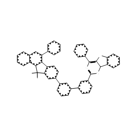 CC1(C)c2cc(-c3cccc(-c4cccc(C5=NC(c6ccccc6)=C6Sc7ccccc7C6N5)c4)c3)ccc2-c2c(-c3ccccc3)cc3ccccc3c21